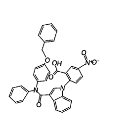 O=C(O)c1cc([N+](=O)[O-])ccc1-n1cc(C(=O)N(c2ccccc2)c2ccc(OCc3ccccc3)cc2)c2ccccc21